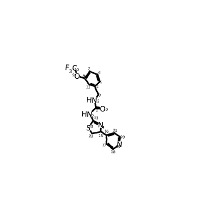 O=C(NCc1cccc(OC(F)(F)F)c1)NC1=NC(c2ccncc2)CS1